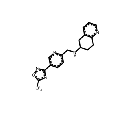 FC(F)(F)c1nc(-c2ccc(CNC3CCc4ncccc4C3)nc2)no1